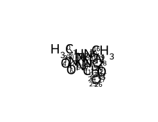 CC[C@H]1COC(=O)N1c1nc(C)nc(N[C@@H](C)c2ccc(Oc3ccccc3)cn2)n1